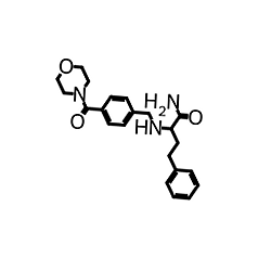 NC(=O)C(CCc1ccccc1)NCc1ccc(C(=O)N2CCOCC2)cc1